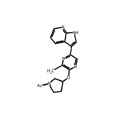 CC(=O)N1CCC(Oc2ncc(-c3c[nH]c4ncccc34)nc2C)C1